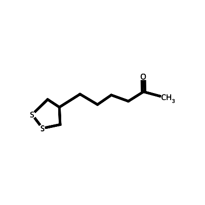 CC(=O)CCCCC1CSSC1